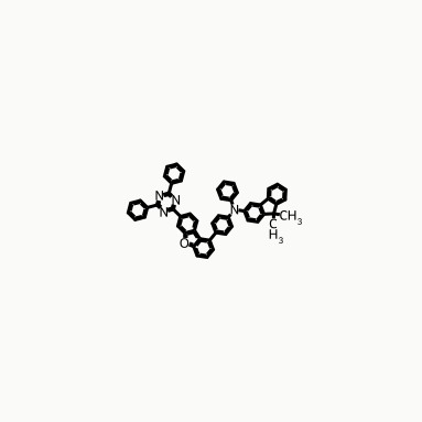 CC1(C)c2ccccc2-c2cc(N(c3ccccc3)c3ccc(-c4cccc5oc6cc(-c7nc(-c8ccccc8)nc(-c8ccccc8)n7)ccc6c45)cc3)ccc21